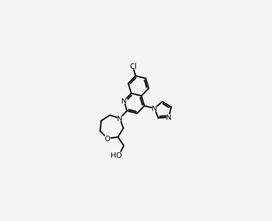 OCC1CN(c2cc(-n3ccnc3)c3ccc(Cl)cc3n2)CCCO1